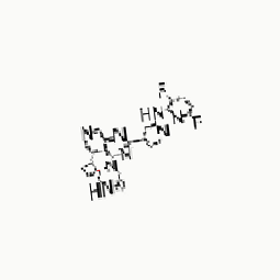 C[C@H]1CN(c2nc(-c3ccnc(Nc4nc(F)ccc4F)c3)nc3cncc(C4=CC=C4)c23)CCN1